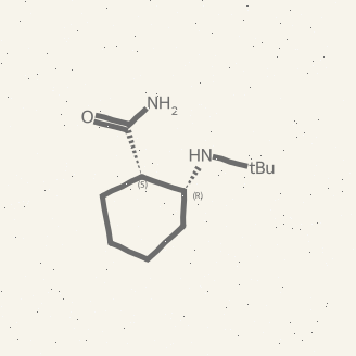 CC(C)(C)N[C@@H]1CCCC[C@@H]1C(N)=O